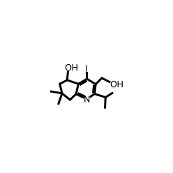 CC(C)c1nc2c(c(I)c1CO)C(O)CC(C)(C)C2